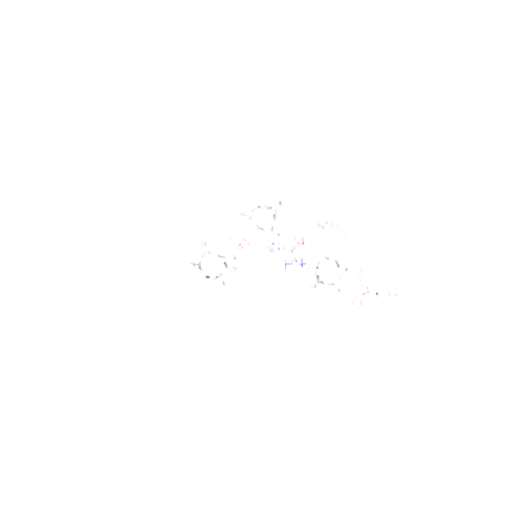 COc1cc(CC(=O)O)ccc1NC(=O)Nc1ccccc1OCc1ccccc1